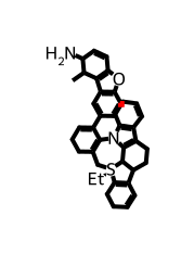 CC[S@@]12CC3=C(C(c4ccc5oc6c(c5c4)C(C)C(N)C=C6)=CCC3)n3c4c(c5c3C1C(CC5)C1=C2CCC=C1)C=CCC4